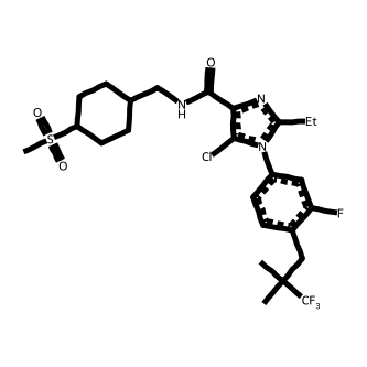 CCc1nc(C(=O)NCC2CCC(S(C)(=O)=O)CC2)c(Cl)n1-c1ccc(CC(C)(C)C(F)(F)F)c(F)c1